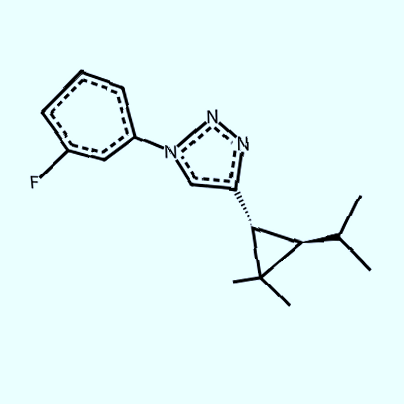 CC(C)[C@@H]1[C@@H](c2cn(-c3cccc(F)c3)nn2)C1(C)C